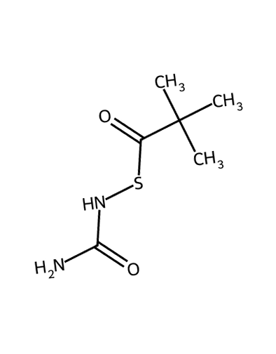 CC(C)(C)C(=O)SNC(N)=O